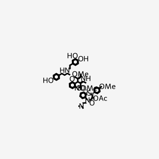 CC(CCc1ccc(O)cc1)NCCc1ccc(O)c(O)c1.COC(=O)C1=C(C)NC(C)=C(C(=O)OC)C1c1ccccc1[N+](=O)[O-].COc1ccc([C@@H]2Sc3ccccc3N(CCN(C)C)C(=O)[C@@H]2OC(C)=O)cc1